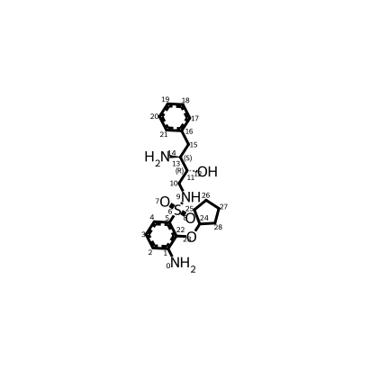 Nc1cccc(S(=O)(=O)NC[C@@H](O)[C@@H](N)Cc2ccccc2)c1OC1CCCC1